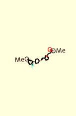 COC(=O)CCc1cccc(/C=C/[C@H]2CC[C@H](c3cc(OC)ccc3F)CC2)c1